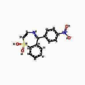 O=[N+]([O-])c1ccc(C2=NC=CS(=O)(=O)c3ccccc32)cc1